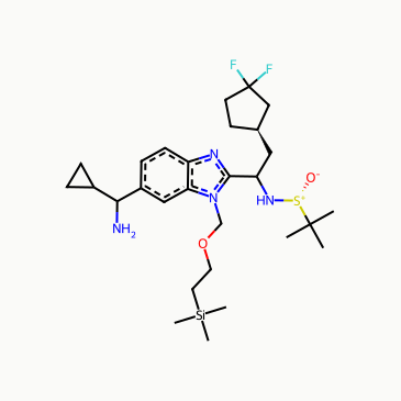 CC(C)(C)[S@@+]([O-])NC(C[C@H]1CCC(F)(F)C1)c1nc2ccc(C(N)C3CC3)cc2n1COCC[Si](C)(C)C